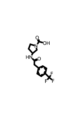 O=C(Cc1ccc(C(F)(F)F)cc1)NC1CCN(C(=O)O)C1